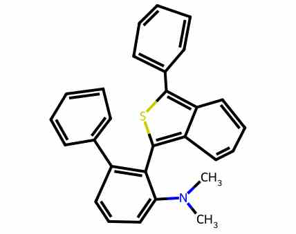 CN(C)c1cccc(-c2ccccc2)c1-c1sc(-c2ccccc2)c2ccccc12